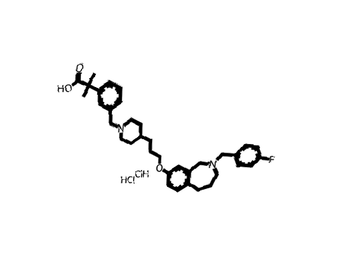 CC(C)(C(=O)O)c1cccc(CN2CCC(CCCOc3ccc4c(c3)CN(Cc3ccc(F)cc3)CCC4)CC2)c1.Cl.Cl